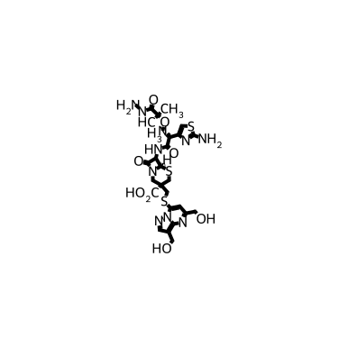 CC(C)(ON=C(C(=O)NC1C(=O)N2CC(CSc3cc(CO)nc4c(CO)cnn34)(C(=O)O)CS[C@H]12)c1csc(N)n1)C(=O)NN